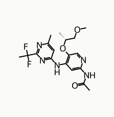 COC[C@@H](C)Oc1cnc(NC(C)=O)cc1Nc1cc(C)nc(C(C)(F)F)n1